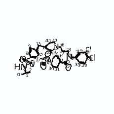 CC(C)NS(=O)(=O)c1ccc(CC2CCN(CCCN(C(=O)C3CCN(S(C)(=O)=O)CC3)c3ccc(Cl)c(Cl)c3)CC2)cc1